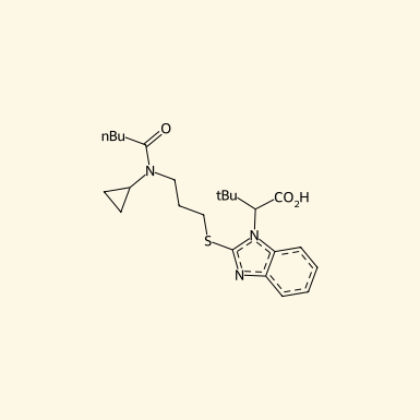 CCCCC(=O)N(CCCSc1nc2ccccc2n1C(C(=O)O)C(C)(C)C)C1CC1